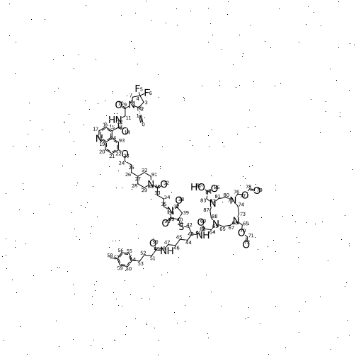 C#C[C@H]1CC(F)(F)CN1C(=O)CNC(=O)c1ccnc2ccc(OCCCC3CCN(C(=O)CCCN4C(=O)CC(SCC(CCCCNC(=O)CCCc5ccc(C)cc5)NC(=O)CN5CCN(COC=O)CCN(COC=O)CCN(CC(=O)O)CC5)C4=O)CC3)cc12